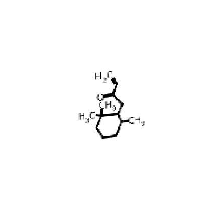 C=CC(=O)CC1C(C)CCCC1(C)C